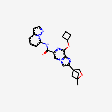 CC12CC(c3cn4cc(C(=O)Nc5cccc6ccnn56)nc(OC5CCC5)c4n3)(CO1)C2